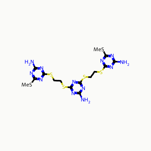 CSc1nc(N)nc(SCCSc2nc(N)nc(SCCSc3nc(N)nc(SC)n3)n2)n1